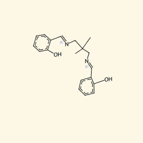 CC(C)(C/N=C/c1ccccc1O)C/N=C/c1ccccc1O